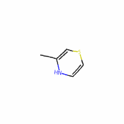 CC1=CSC=CN1